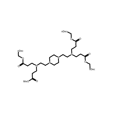 CCCCCCCCCCCOC(=O)CCN(CCC(=O)OC)CCN1CCN(CCN(CCC(=O)OCCCCCCCCCCC)CCC(=O)OCCCCCCCCCCC)CC1